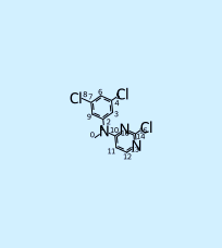 CN(c1cc(Cl)cc(Cl)c1)c1ccnc(Cl)n1